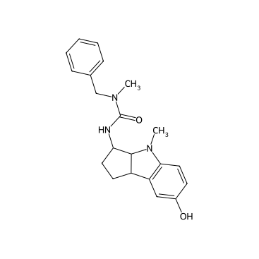 CN(Cc1ccccc1)C(=O)NC1CCC2c3cc(O)ccc3N(C)C12